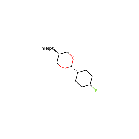 CCCCCCC[C@H]1CO[C@H](C2CCC(F)CC2)OC1